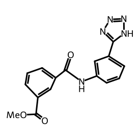 COC(=O)c1cccc(C(=O)Nc2cccc(-c3nnn[nH]3)c2)c1